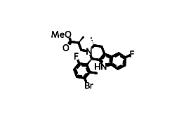 COC(=O)[C@@H](C)CN1[C@H](c2c(F)ccc(Br)c2C)c2[nH]c3ccc(F)cc3c2C[C@H]1C